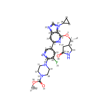 C[C@@H](Oc1nc(-c2cnc(N3CCN(C(=O)OC(C)(C)C)CC3)c(F)c2)cc2ncn(C3CC3)c12)C1CNC(=O)C1